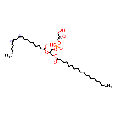 CCCC/C=C\C/C=C\CCCCCCCC(=O)O[C@H](COC(=O)CCCCCCCCCCCCCCCCC)COP(=O)(O)OC[C@@H](O)CO